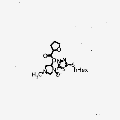 CCCCCCSc1nnc([N+]2([O-])CN(C)CC2OC(=O)C2CCCO2)s1